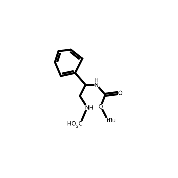 CC(C)(C)OC(=O)NC(CNC(=O)O)c1ccccc1